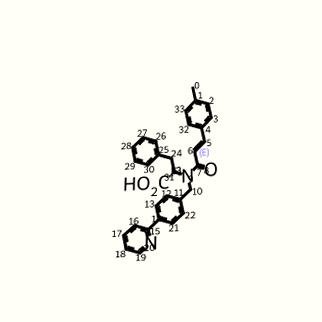 Cc1ccc(/C=C/C(=O)N(Cc2ccc(-c3ccccn3)cc2)[C@@H](Cc2ccccc2)C(=O)O)cc1